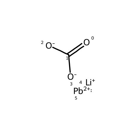 O=C([O-])[O-].[Li+].[Pb+2]